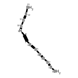 BB=BB=BB=BC#CN=BB=BB